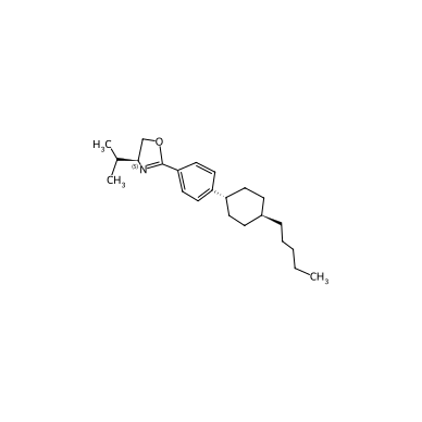 CCCCC[C@H]1CC[C@H](c2ccc(C3=N[C@@H](C(C)C)CO3)cc2)CC1